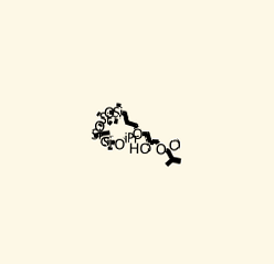 C=C(C)C(=O)OCC(O)COCCC[Si](C)(C)O[Si](C)(C)O[Si](C)(C)O[Si](C)(C)OC(C)C